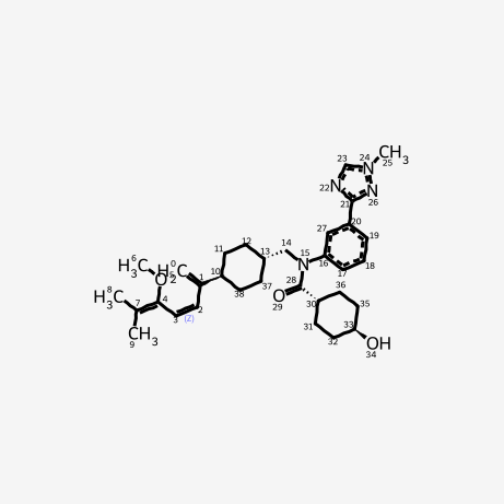 C=C(/C=C\C(OC)=C(C)C)[C@H]1CC[C@H](CN(c2cccc(-c3ncn(C)n3)c2)C(=O)[C@H]2CC[C@H](O)CC2)CC1